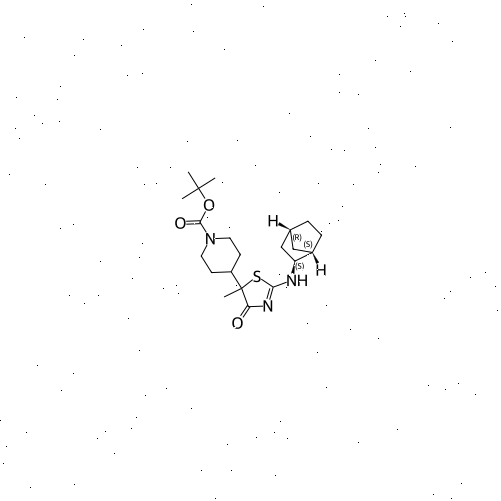 CC(C)(C)OC(=O)N1CCC(C2(C)SC(N[C@H]3C[C@@H]4CC[C@H]3C4)=NC2=O)CC1